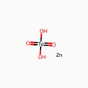 O=[Te](=O)(O)O.[Zn]